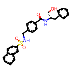 O=C(N[C@H](CO)Cc1ccccc1)c1ccc(CNS(=O)(=O)c2ccc3ccccc3c2)cc1